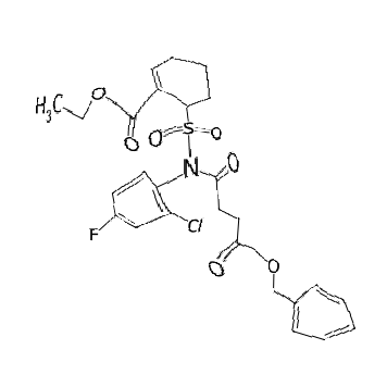 CCOC(=O)C1=CCCCC1S(=O)(=O)N(C(=O)CCC(=O)OCc1ccccc1)c1ccc(F)cc1Cl